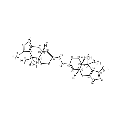 Cc1coc2c1C(C)(C)[C@H]1CCC(SSC3=C[C@H]4Cc5occ(C)c5C(C)(C)[C@H]4CC3)=C[C@H]1C2